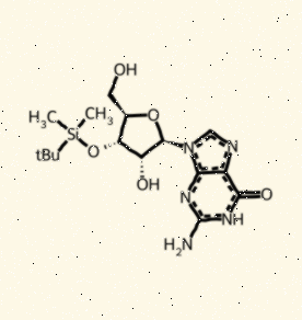 CC(C)(C)[Si](C)(C)O[C@H]1[C@@H](O)[C@H](n2cnc3c(=O)[nH]c(N)nc32)O[C@@H]1CO